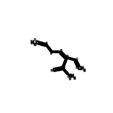 C=CC/C=C(/C=C)C(N)=O